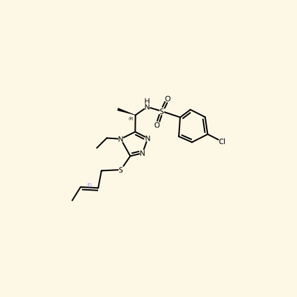 C/C=C/CSc1nnc([C@@H](C)NS(=O)(=O)c2ccc(Cl)cc2)n1CC